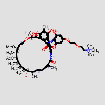 CO[C@H]1/C=C/O[C@@]2(C)Oc3c(C)c(O)c4c(=O)c(c5oc6cc(OCCOCC[N+](C)(C)C(C)(C)C)cc(O)c6nc-5c4c3C2=O)NC(=O)/C(C)=C\C=C\[C@H](C)[C@H](O)[C@@H](C)[C@@H](C)[C@@H](C)[C@H](OC(C)=O)[C@@H]1C